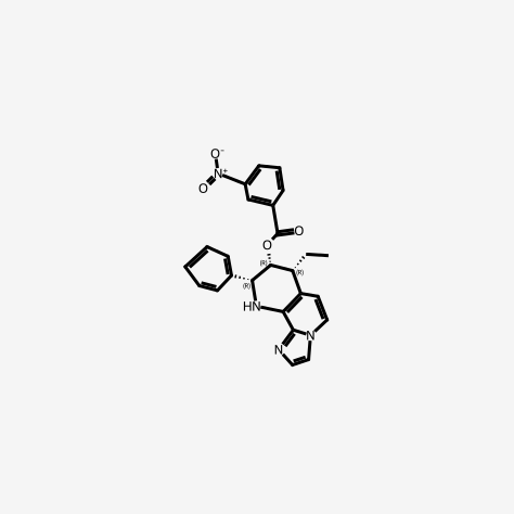 CC[C@@H]1c2ccn3ccnc3c2N[C@H](c2ccccc2)[C@@H]1OC(=O)c1cccc([N+](=O)[O-])c1